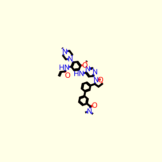 C=CC(=O)Nc1cc(Nc2cc(N3OCCC3c3cccc(-c4cccc(C(=O)N(C)C)c4)c3)ncn2)c(OC)cc1N1CCN(C)CC1